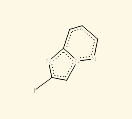 Ic1cn2ncccc2n1